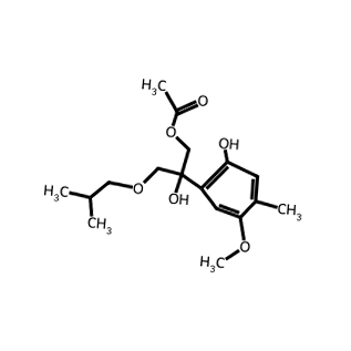 COc1cc(C(O)(COCC(C)C)COC(C)=O)c(O)cc1C